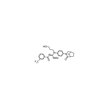 CN/C(=N\C(=O)c1cccc(C(F)(F)F)c1)N(CCCO)c1ccc(N2CC3CCC(O3)C2=O)cc1